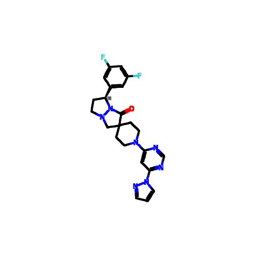 O=C1N2[C@H](c3cc(F)cc(F)c3)CCN2CC12CCN(c1cc(-n3cccn3)ncn1)CC2